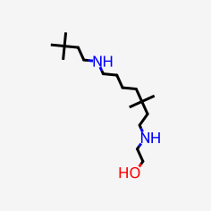 CC(C)(C)CCNCCCCC(C)(C)CCNCCO